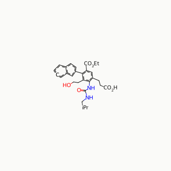 CCOC(=O)c1cc(CCC(=O)O)c(NC(=O)NCC(C)C)c(CCO)c1-c1ccc2ccccc2c1